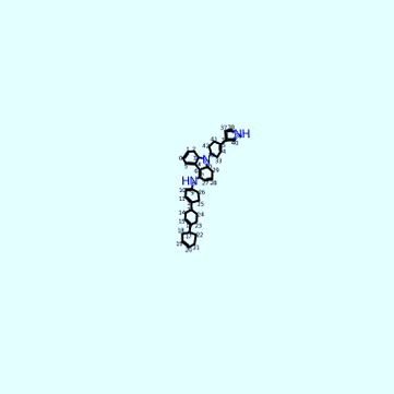 C1=CCC2C(=C1)C1=C(NC3=CC=C(C4CC=C(C5CC=CCC5)CC4)CC3)C=CCC1N2C1CC=C(c2cc[nH]c2)CC1